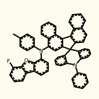 Cc1ccc(N(c2cc3c(c4ccccc24)-c2c(ccc4ccccc24)C32c3ccccc3N(c3ccccc3)c3ccccc32)c2cccc3c2oc2c(F)cccc23)cc1